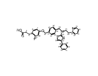 O=C(O)CCc1ccc(OCc2ccc(CN(CCc3ccccn3)c3nc(-c4ccccc4)cs3)cc2)cc1F